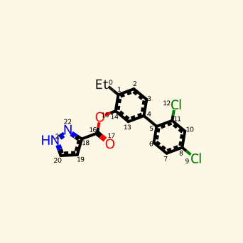 CCc1ccc(-c2ccc(Cl)cc2Cl)cc1OC(=O)c1cc[nH]n1